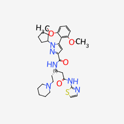 COc1cccc(OC)c1-c1cc(C(=O)N[C@@H](CCN2CCCCC2)CC(=O)Nc2nccs2)nn1C1CCCC1